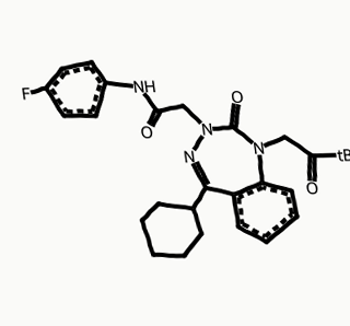 CC(C)(C)C(=O)CN1C(=O)N(CC(=O)Nc2ccc(F)cc2)N=C(C2CCCCC2)c2ccccc21